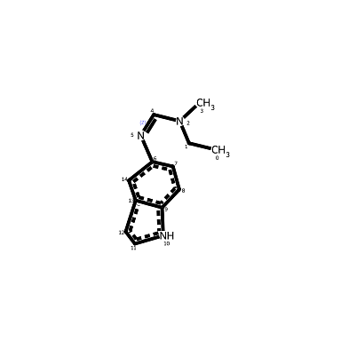 CCN(C)/C=N\c1ccc2[nH]ccc2c1